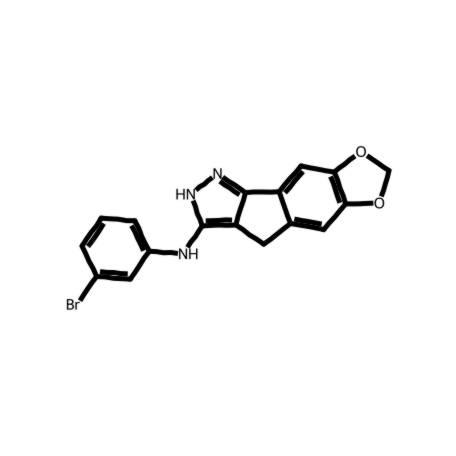 Brc1cccc(Nc2[nH]nc3c2Cc2cc4c(cc2-3)OCO4)c1